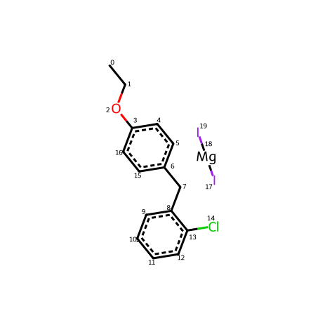 CCOc1ccc(Cc2c[c]ccc2Cl)cc1.[I][Mg][I]